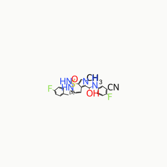 Cn1cc2c(c1C(O)Nc1ccc(F)c(C#N)c1)C=C[C@H](Cc1ccc(F)cc1)NS2(=N)=O